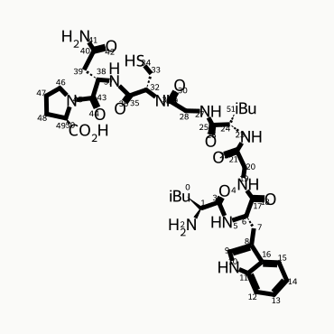 CC[C@H](C)[C@H](N)C(=O)N[C@@H](Cc1c[nH]c2ccccc12)C(=O)NCC(=O)N[C@H](C(=O)NCC(=O)N[C@@H](CS)C(=O)N[C@@H](CC(N)=O)C(=O)N1CCC[C@H]1C(=O)O)[C@@H](C)CC